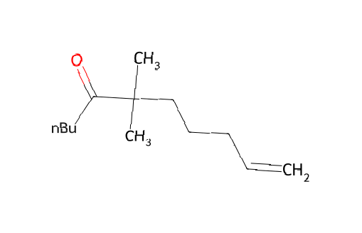 C=CCCCC(C)(C)C(=O)CCCC